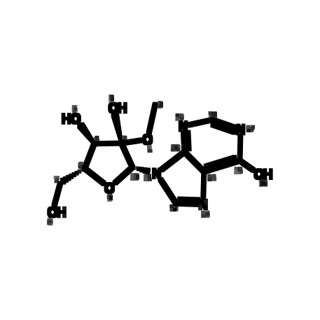 CO[C@@]1(O)[C@H](O)[C@@H](CO)O[C@H]1n1cnc2c(O)ncnc21